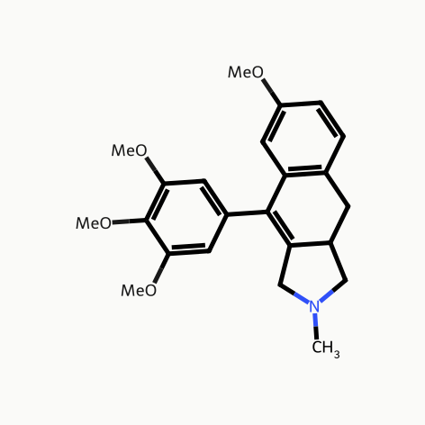 COc1ccc2c(c1)C(c1cc(OC)c(OC)c(OC)c1)=C1CN(C)CC1C2